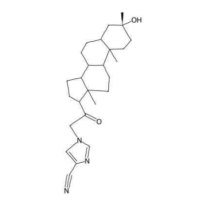 CC12CC[C@@](C)(O)CC1CCC1C2CCC2(C)C(C(=O)Cn3cnc(C#N)c3)CCC12